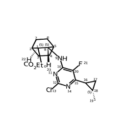 CCOC(=O)[C@H]1C2CCC(CC2)[C@@H]1Nc1nc(Cl)nc(C2C[C@@H]2C)c1F